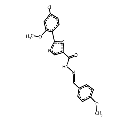 COc1ccc(/C=N/NC(=O)c2cnc(-c3ccc(Cl)cc3OC)s2)cc1